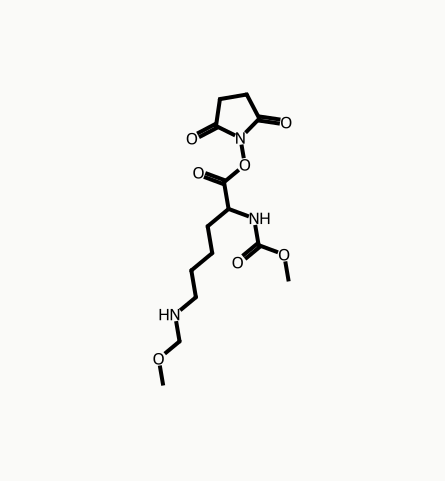 COCNCCCCC(NC(=O)OC)C(=O)ON1C(=O)CCC1=O